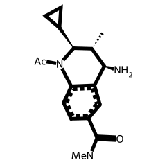 CNC(=O)c1ccc2c(c1)[C@H](N)[C@@H](C)[C@H](C1CC1)N2C(C)=O